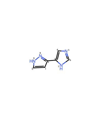 [c]1cc(-c2cnc[nH]2)n[nH]1